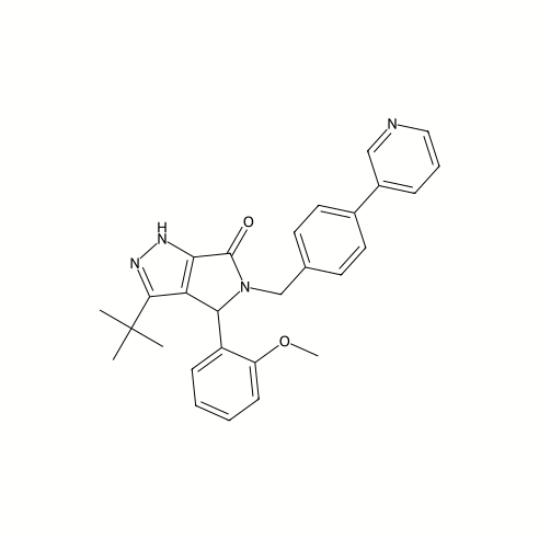 COc1ccccc1C1c2c(C(C)(C)C)n[nH]c2C(=O)N1Cc1ccc(-c2cccnc2)cc1